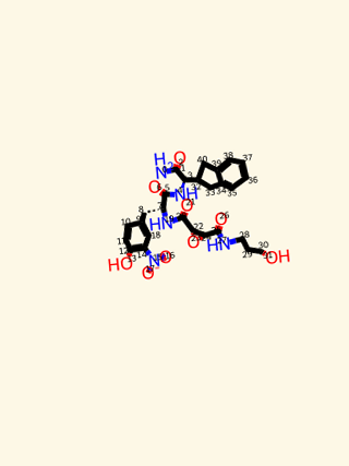 NC(=O)[C@H](NC(=O)[C@@H](Cc1ccc(O)c([N+](=O)[O-])c1)NC(=O)C1OC1C(=O)NCCCO)C1Cc2ccccc2C1